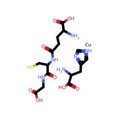 NC(CCC(=O)NC(CS)C(=O)NCC(=O)O)C(=O)O.NC(Cc1c[nH]cn1)C(=O)O.[Cu]